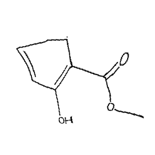 COC(=O)C1=C(O)C=CC[CH]1